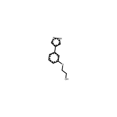 OCCOc1[c]ccc(-c2cn[nH]c2)c1